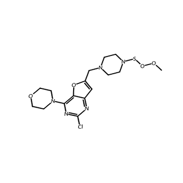 COOSN1CCN(Cc2cc3nc(Cl)nc(N4CCOCC4)c3o2)CC1